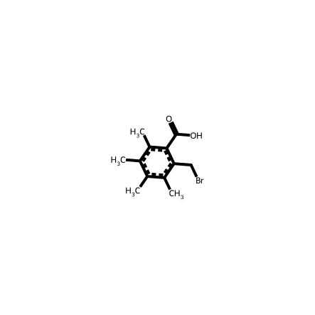 Cc1c(C)c(C)c(C(=O)O)c(CBr)c1C